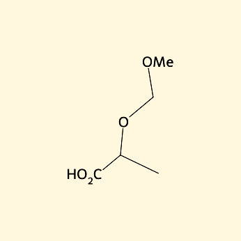 COCOC(C)C(=O)O